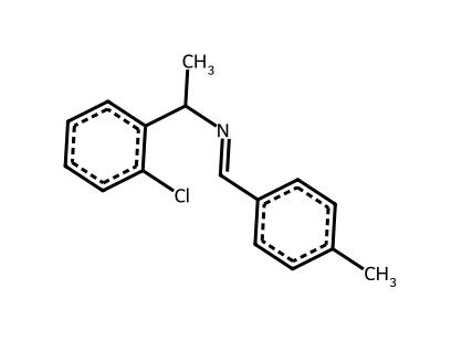 Cc1ccc(C=NC(C)c2ccccc2Cl)cc1